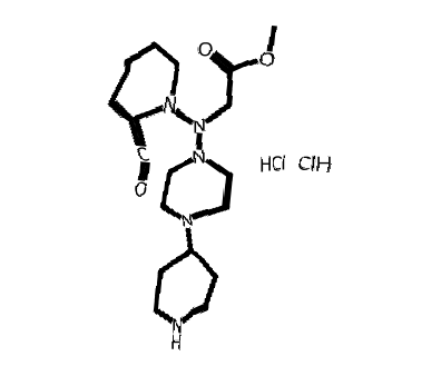 COC(=O)CN(N1CCN(C2CCNCC2)CC1)N1CCCCC1=C=O.Cl.Cl